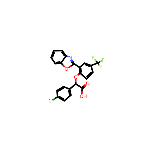 O=C(O)C(Oc1ccc(C(F)(F)F)cc1-c1nc2ccccc2o1)c1ccc(Cl)cc1